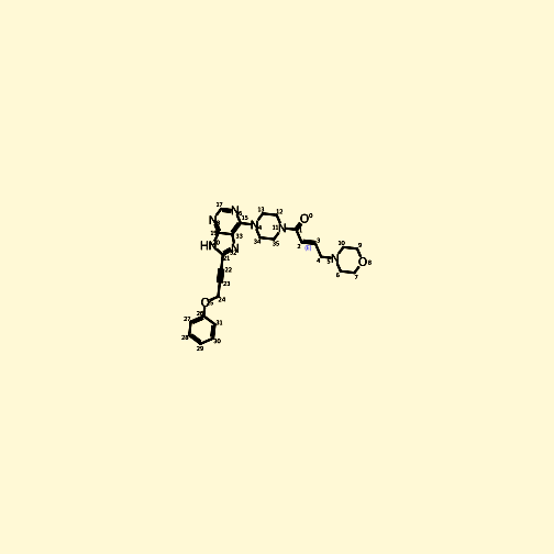 O=C(/C=C/CN1CCOCC1)N1CCN(c2ncnc3[nH]c(C#CCOc4ccccc4)nc23)CC1